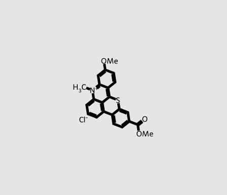 COC(=O)c1ccc2c(c1)Sc1c3ccc(OC)cc3[n+](C)c3cccc-2c13.[Cl-]